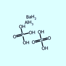 O=P(O)(O)O.O=S(=O)(O)O.[AlH3].[BaH2]